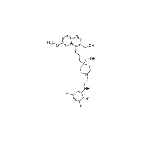 COc1ccc2ncc(CO)c(CCCC3(CO)CCN(CCNc4cc(F)cc(F)c4F)CC3)c2c1